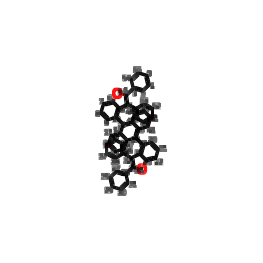 c1ccc(-c2oc3cccc(-c4c5ccccc5c(-c5cccc6oc(-c7ccccc7)c(-c7ccccc7)c56)c5ccccc45)c3c2-c2ccccc2)cc1